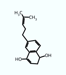 CC(C)=CCCc1ccc2c(c1)C(O)=CCC2O